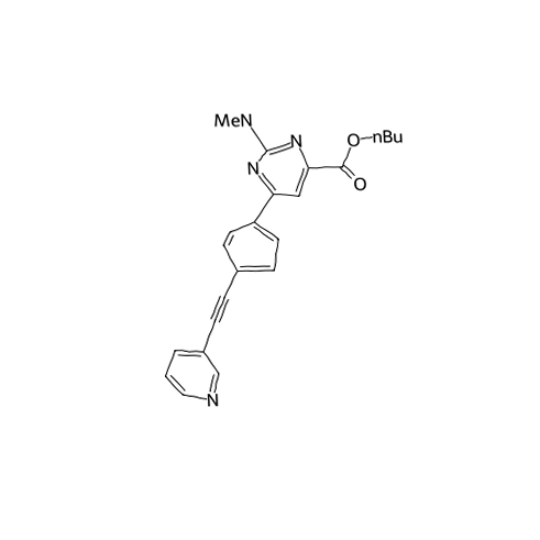 CCCCOC(=O)c1cc(-c2ccc(C#Cc3cccnc3)cc2)nc(NC)n1